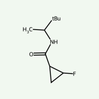 CC(NC(=O)C1CC1F)C(C)(C)C